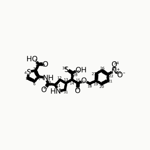 O=C(O)c1sccc1NC(=O)C1CC(C(C(=O)OCc2ccc([N+](=O)[O-])cc2)C(O)=S)CN1